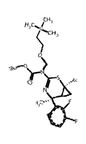 CC(=O)[C@]12CC1[C@@](C)(c1cccc(F)c1F)N=C(N(COCC[Si](C)(C)C)C(=O)OC(C)(C)C)S2